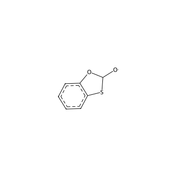 [O]C1Oc2ccccc2S1